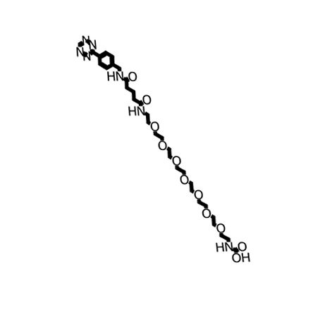 O=C(O)NCCOCCOCCOCCOCCOCCOCCOCCNC(=O)CCCC(=O)NCc1ccc(-c2nncnn2)cc1